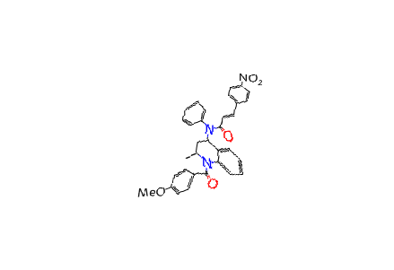 COc1ccc(C(=O)N2c3ccccc3C(N(C(=O)/C=C/c3ccc([N+](=O)[O-])cc3)c3ccccc3)CC2C)cc1